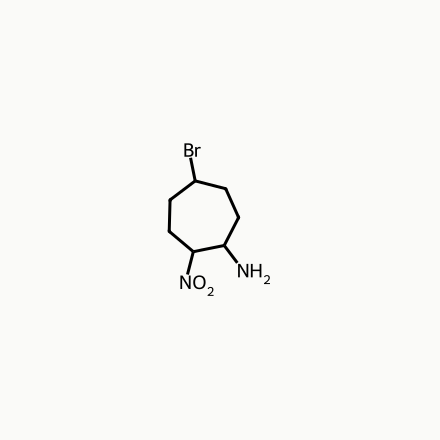 NC1CCC(Br)CCC1[N+](=O)[O-]